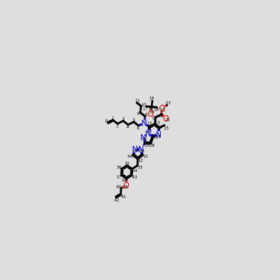 C=CCCCCCN(CCCC)c1c([C@H](OC(C)(C)C)C(=O)OC)c(C)nc2cc(-n3cc(Cc4cccc(OCC=C)c4)cn3)nn12